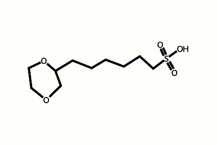 O=S(=O)(O)CCCCCCC1COCCO1